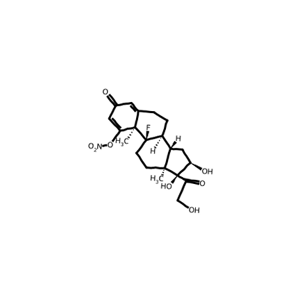 C[C@@]12C(=CC(=O)C=C1O[N+](=O)[O-])CC[C@H]1[C@@H]3C[C@@H](O)[C@](O)(C(=O)CO)[C@@]3(C)CC[C@@]12F